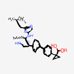 CN/C(Nc1cncc(C=C(C)C)n1)=C(\C=N)c1ccc(-c2ccc(C3(C(O)O)CC3)cc2)cc1